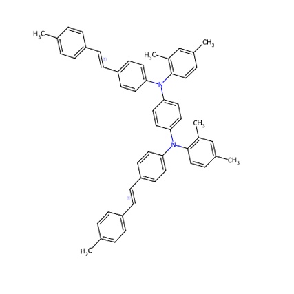 Cc1ccc(/C=C/c2ccc(N(c3ccc(N(c4ccc(/C=C/c5ccc(C)cc5)cc4)c4ccc(C)cc4C)cc3)c3ccc(C)cc3C)cc2)cc1